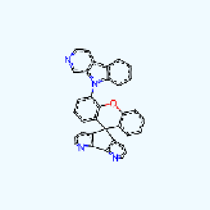 c1ccc2c(c1)Oc1c(-n3c4ccccc4c4ccncc43)cccc1C21c2cccnc2-c2ncccc21